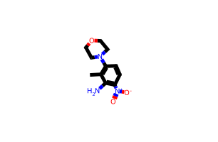 Cc1c(N2CCOCC2)ccc([N+](=O)[O-])c1N